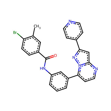 Cc1cc(C(=O)Nc2cccc(-c3ccnc4cc(-c5ccncc5)nn34)c2)ccc1Br